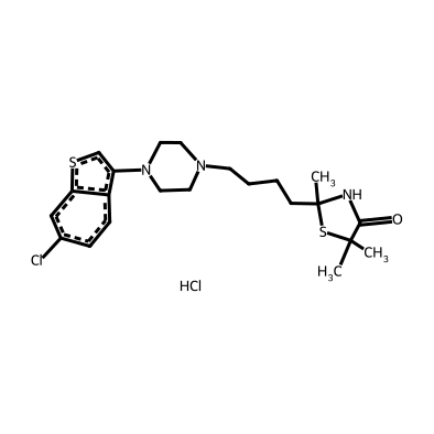 CC1(CCCCN2CCN(c3csc4cc(Cl)ccc34)CC2)NC(=O)C(C)(C)S1.Cl